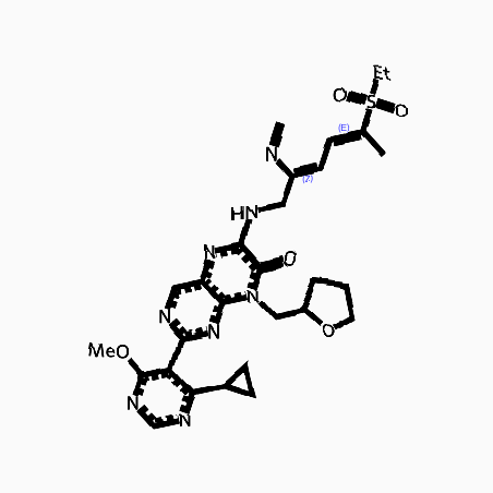 C=N/C(=C\C=C(/C)S(=O)(=O)CC)CNc1nc2cnc(-c3c(OC)ncnc3C3CC3)nc2n(CC2CCCO2)c1=O